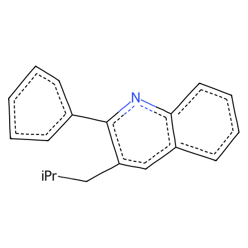 CC(C)Cc1cc2ccccc2nc1-c1ccccc1